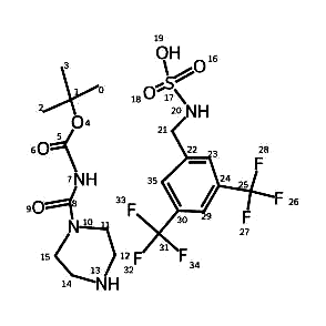 CC(C)(C)OC(=O)NC(=O)N1CCNCC1.O=S(=O)(O)NCc1cc(C(F)(F)F)cc(C(F)(F)F)c1